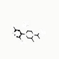 CC1CN(c2cc(Cl)nnc2N)CCN1C(C)C(=O)O.Cl.Cl